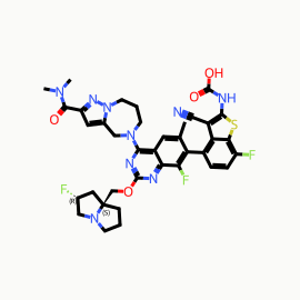 Cc1cc2c(N3CCCn4nc(C(=O)N(C)C)cc4C3)nc(OC[C@@]34CCCN3C[C@H](F)C4)nc2c(F)c1-c1ccc(F)c2sc(NC(=O)O)c(C#N)c12